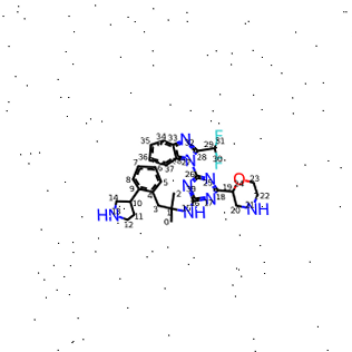 CC(C)(Cc1ccccc1C1CCNC1)Nc1nc(C2CNCCO2)nc(-n2c(C(F)F)nc3ccccc32)n1